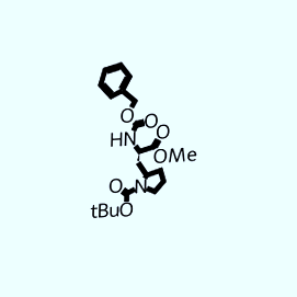 COC(=O)[C@H](CC1CCCN1C(=O)OC(C)(C)C)NC(=O)OCc1ccccc1